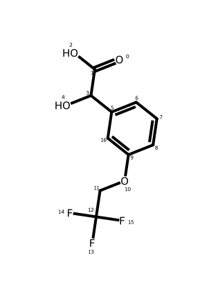 O=C(O)C(O)c1cccc(OCC(F)(F)F)c1